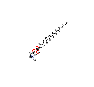 CCCCCCCCCCCCCCCCCCOC(=O)OC1C[CH]N(C)C1